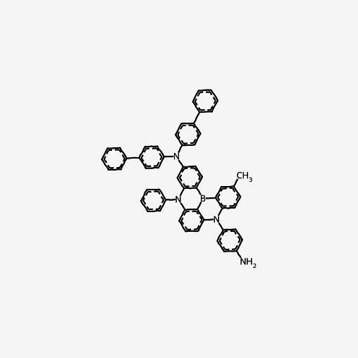 Cc1ccc2c(c1)B1c3ccc(N(c4ccc(-c5ccccc5)cc4)c4ccc(-c5ccccc5)cc4)cc3N(c3ccccc3)c3cccc(c31)N2c1ccc(N)cc1